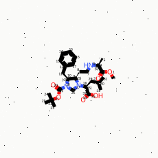 COC(=O)[C@H](C)NCC[C@H]1[C@H](Cc2ccccc2)N(C(=O)OC(C)(C)C)CN1[C@@H](CC(C)C)C(=O)O